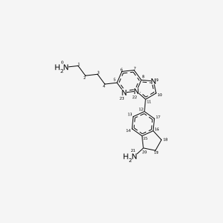 NCCCCc1ccc2ncc(-c3ccc4c(c3)CCC4N)n2n1